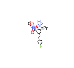 [CH2]CCc1cc(CCc2ccc(F)cc2)cc(C(=O)NCc2ccco2)c1C(N)=O